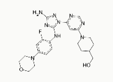 Nc1nc(Nc2ccc(N3CCOCC3)cc2F)n(-c2cc(N3CCC(CO)CC3)ncn2)n1